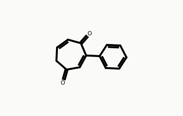 O=C1C=C(c2ccccc2)C(=O)C=CC1